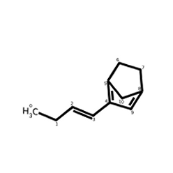 CCC=CC1=C2CCC(=C1)C2